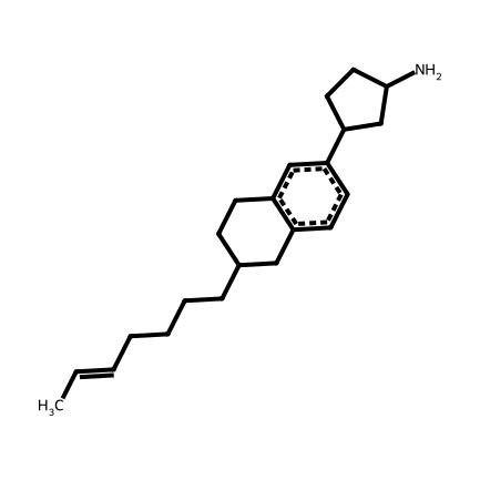 C/C=C/CCCCC1CCc2cc(C3CCC(N)C3)ccc2C1